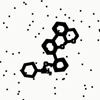 c1ccc(-c2cccc(-c3ccccc3O[SiH2]C3CCCCC3)c2OC2CCCCO2)cc1